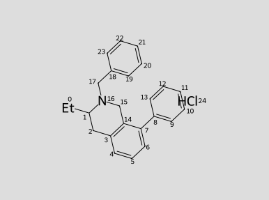 CCC1Cc2cccc(-c3ccccc3)c2CN1Cc1ccccc1.Cl